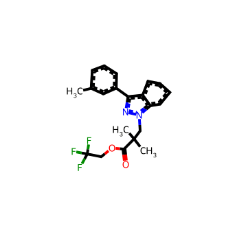 Cc1cccc(-c2nn(CC(C)(C)C(=O)OCC(F)(F)F)c3ccccc23)c1